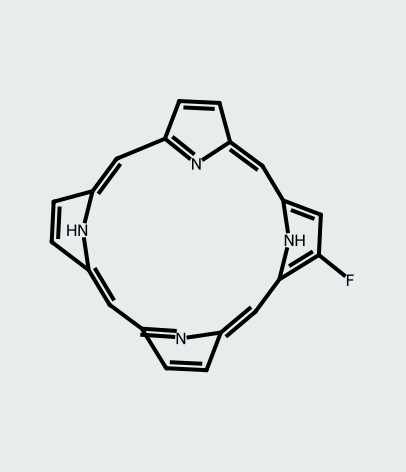 Fc1cc2cc3nc(cc4ccc(cc5nc(cc1[nH]2)C=C5)[nH]4)C=C3